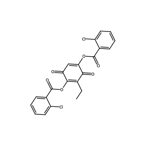 CCC1=C(OC(=O)c2ccccc2Cl)C(=O)C=C(OC(=O)c2ccccc2Cl)C1=O